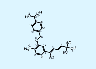 CCC(=CC=CC(O)(CC)CC)c1ccc(C)c(OCc2ccc(C(O)O)cc2)c1